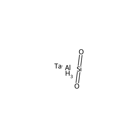 O=[Si]=O.[AlH3].[Ta]